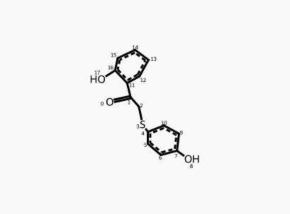 O=C(CSc1ccc(O)cc1)c1ccccc1O